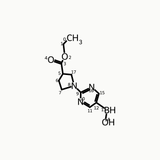 CCOC(=O)C1CCN(c2ncc(BO)cn2)C1